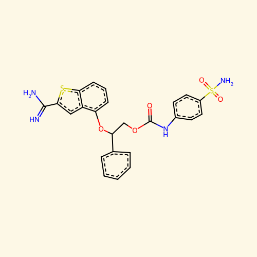 N=C(N)c1cc2c(OC(COC(=O)Nc3ccc(S(N)(=O)=O)cc3)c3ccccc3)cccc2s1